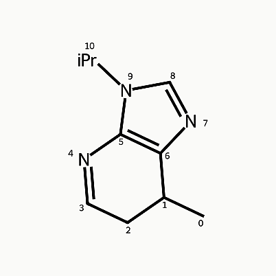 CC1CC=Nc2c1ncn2C(C)C